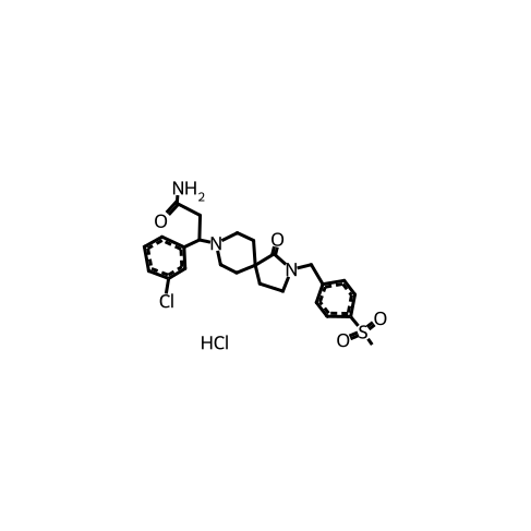 CS(=O)(=O)c1ccc(CN2CCC3(CCN(C(CC(N)=O)c4cccc(Cl)c4)CC3)C2=O)cc1.Cl